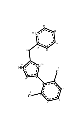 Clc1cccc(Cl)c1-c1c[nH]c(Cc2ccccn2)n1